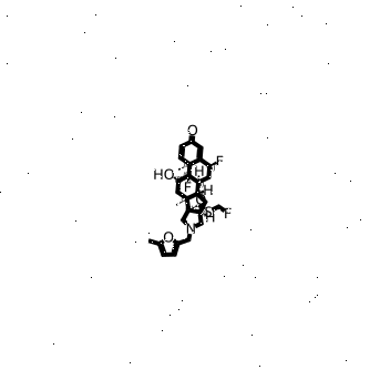 Cc1ccc(CN2C[C@@H]3C[C@H]4[C@@H]5C[C@H](F)C6=CC(=O)C=C[C@]6(C)[C@@]5(F)[C@@H](O)C[C@]4(C)[C@]3(C(=O)SCF)C2)o1